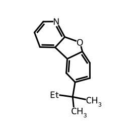 CCC(C)(C)c1ccc2oc3ncccc3c2c1